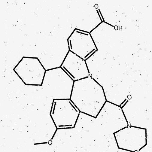 COc1ccc2c(c1)CC(C(=O)N1CCOCC1)Cn1c-2c(C2CCCCC2)c2ccc(C(=O)O)cc21